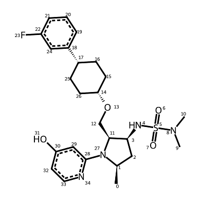 C[C@@H]1C[C@H](NS(=O)(=O)N(C)C)[C@H](CO[C@H]2CC[C@@H](c3cccc(F)c3)CC2)N1c1cc(O)ccn1